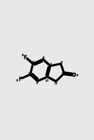 O=C1Cc2cc(F)c(F)cc2C1